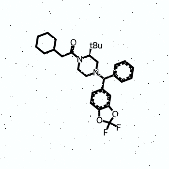 CC(C)(C)[C@H]1CN(C(c2ccccc2)c2ccc3c(c2)OC(F)(F)O3)CCN1C(=O)CC1CCCCC1